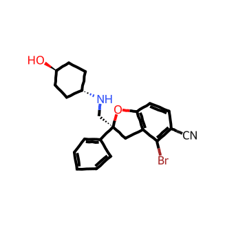 N#Cc1ccc2c(c1Br)C[C@@](CN[C@H]1CC[C@H](O)CC1)(c1ccccc1)O2